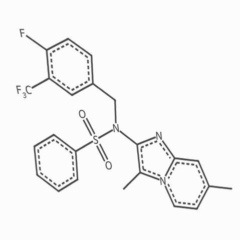 Cc1ccn2c(C)c(N(Cc3ccc(F)c(C(F)(F)F)c3)S(=O)(=O)c3ccccc3)nc2c1